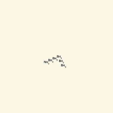 B.B.B.B.B.N